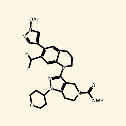 CNC(=O)N1CCc2c(c(N3CCCc4cc(-c5cnn(OC(C)=O)c5)c(C(F)F)cc43)nn2C2CCOCC2)C1